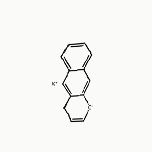 C1=CCc2cc3ccccc3cc2[CH-]1.[K+]